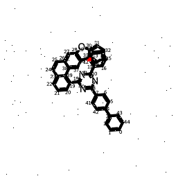 c1ccc(-c2ccc(-c3nc(-c4ccccc4)nc(-c4cccc5ccc6cc7oc8ccccc8c7cc6c45)n3)cc2)cc1